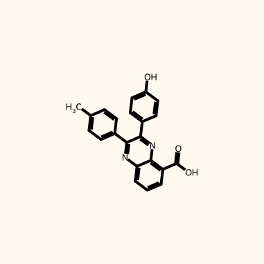 Cc1ccc(-c2nc3cccc(C(=O)O)c3nc2-c2ccc(O)cc2)cc1